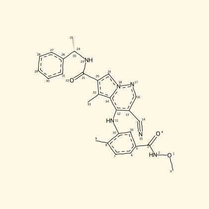 CONC(=O)c1ccc(C)c(Nc2c(C#N)cnn3cc(C(=O)N[C@@H](C)c4ccccc4)c(C)c23)c1